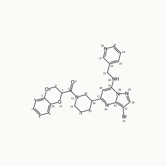 O=C(C1COc2ccccc2O1)N1CCCC(c2cc(NCc3cccnc3)n3ncc(Br)c3n2)C1